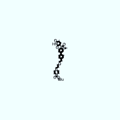 Cn1c(=O)n(C2CCC(=O)NC2=O)c2ccc(-c3ccc(CCOCCCN4CCN(C(=O)OC(C)(C)C)CC4)cc3)cc21